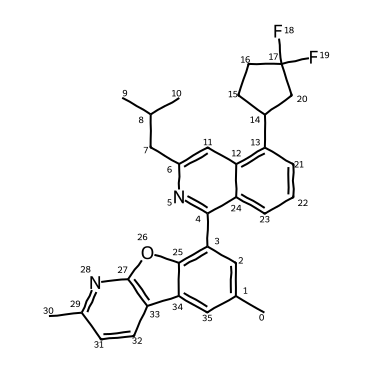 Cc1cc(-c2nc(CC(C)C)cc3c(C4CCC(F)(F)C4)cccc23)c2oc3nc(C)ccc3c2c1